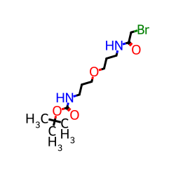 CC(C)(C)OC(=O)NCCCOCCCNC(=O)CBr